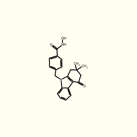 CC1(C)CC(=O)c2c(n(Cc3ccc(C(=O)NO)cc3)c3ccccc23)C1